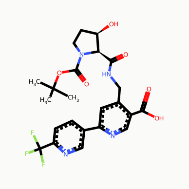 CC(C)(C)OC(=O)N1CC[C@@H](O)[C@H]1C(=O)NCc1cc(-c2ccc(C(F)(F)F)nc2)ncc1C(=O)O